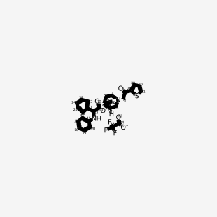 O=C(C[N+]12CCC(CC1)[C@@H](OC(=O)C(Nc1ccccc1)c1ccccc1)C2)c1cccs1.O=C([O-])C(F)(F)F